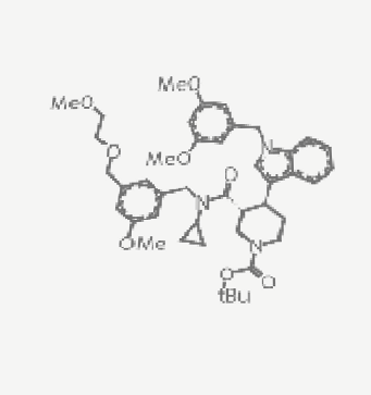 COCCOCc1cc(CN(C(=O)[C@H]2CN(C(=O)OC(C)(C)C)CC[C@@H]2c2cn(Cc3cc(OC)cc(OC)c3)c3ccccc23)C2CC2)cc(OC)c1